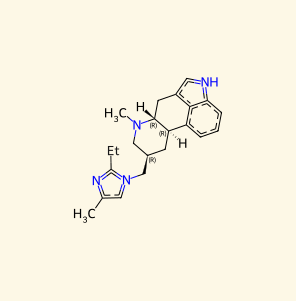 CCc1nc(C)cn1C[C@@H]1C[C@@H]2c3cccc4[nH]cc(c34)C[C@H]2N(C)C1